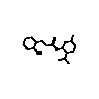 CC1CCC(C(C)C)C(OC(=O)CCC2CCCCC2O)C1